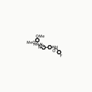 COc1ccc(Nc2nc3ccc(-c4ccc(NC(=O)Cc5ccc(F)cc5)cc4)cn3n2)c(OC)c1